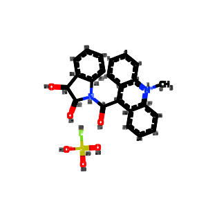 C[n+]1c2ccccc2c(C(=O)N2C(=O)C(=O)c3ccccc32)c2ccccc21.O=S(=O)([O-])F